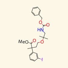 COC(=O)C(C)(CCOC(C)(C)CNC(=O)OCc1ccccc1)c1cccc(I)c1